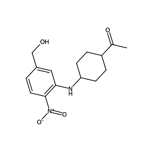 CC(=O)C1CCC(Nc2cc(CO)ccc2[N+](=O)[O-])CC1